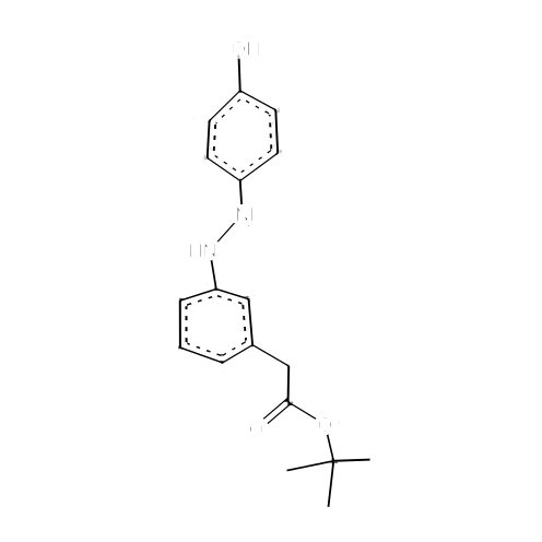 CC(C)(C)OC(=O)Cc1cccc(NNc2ccc(O)cc2)c1